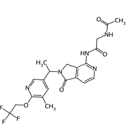 CC(=O)NCC(=O)Nc1nccc2c1CN(C(C)c1cnc(OCC(F)(F)F)c(C)c1)C2=O